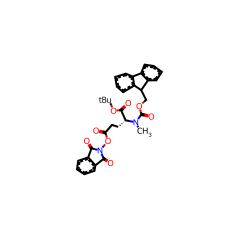 CN(C(=O)OCC1c2ccccc2-c2ccccc21)[C@H](CCC(=O)ON1C(=O)c2ccccc2C1=O)C(=O)OC(C)(C)C